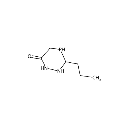 CCCC1NNC(=O)CP1